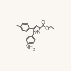 CCOC(=O)c1cc(-c2ccc(C)cc2)n(-c2ccc(N)cc2)n1